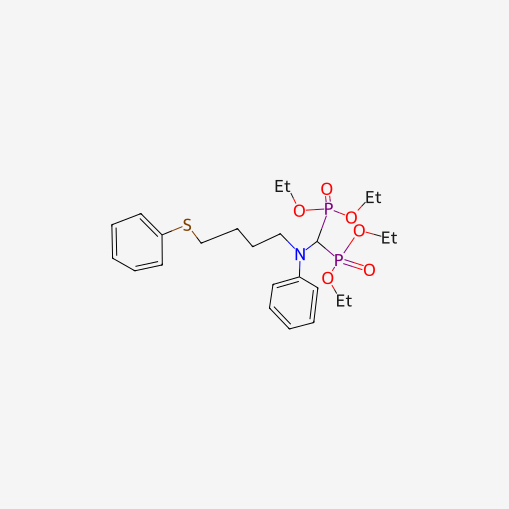 CCOP(=O)(OCC)C(N(CCCCSc1ccccc1)c1ccccc1)P(=O)(OCC)OCC